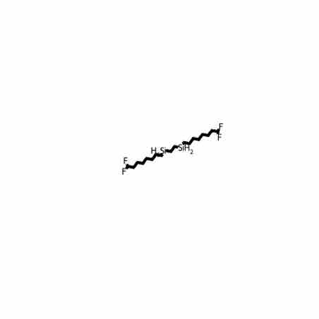 FC(F)CCCCCCC[SiH2]CC[SiH2]CCCCCCCC(F)F